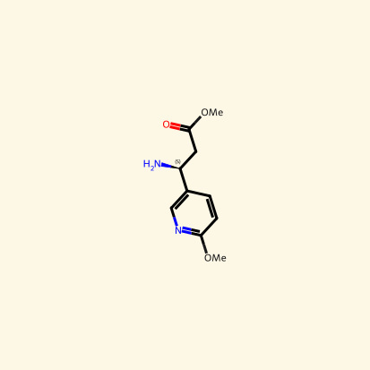 COC(=O)C[C@H](N)c1ccc(OC)nc1